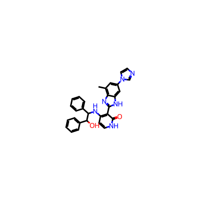 Cc1cc(-n2ccnc2)cc2[nH]c(-c3c(NC(c4ccccc4)C(O)c4ccccc4)cc[nH]c3=O)nc12